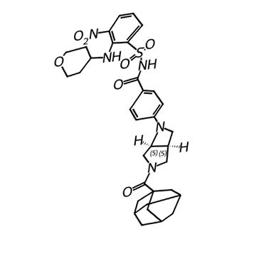 O=C(NS(=O)(=O)c1cccc([N+](=O)[O-])c1NC1CCOCC1)c1ccc(N2C[C@H]3CN(C(=O)C45CC6CC(CC(C6)C4)C5)C[C@H]32)cc1